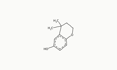 CC1(C)CCOc2ccc(O)cc21